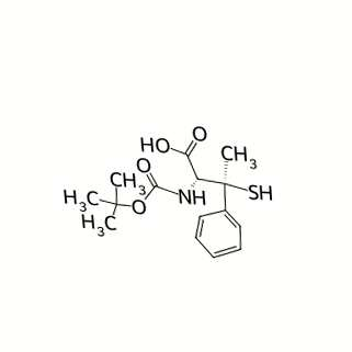 CC(C)(C)OC(=O)N[C@H](C(=O)O)[C@@](C)(S)c1ccccc1